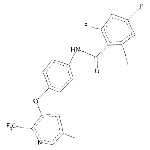 Cc1cnc(C(F)(F)F)c(Oc2ccc(NC(=O)c3c(C)cc(F)cc3F)cc2)c1